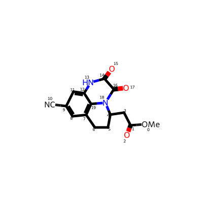 COC(=O)CC1CCc2cc(C#N)cc3[nH]c(=O)c(=O)n1c23